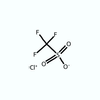 O=S(=O)([O-])C(F)(F)F.[Cl+]